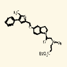 CCOC(=O)CCN(CC(=O)N1CCc2cc(OCc3cc(-c4ccccc4)c(C(F)(F)F)s3)ccc21)C(C)C